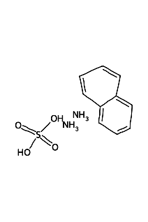 N.N.O=S(=O)(O)O.c1ccc2ccccc2c1